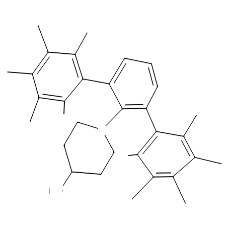 Cc1c(C)c(C)c(-c2cccc(-c3c(C)c(C)c(C)c(C)c3C)c2P2CCC(O)CC2)c(C)c1C